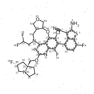 N#Cc1c(N)sc2c(F)ccc(-c3c(Cl)c4c5c(nc(OC[C@@]67CCCN6C[C@H](F)C7)nc5c3F)N(CC(F)F)CC3COCC3O4)c12